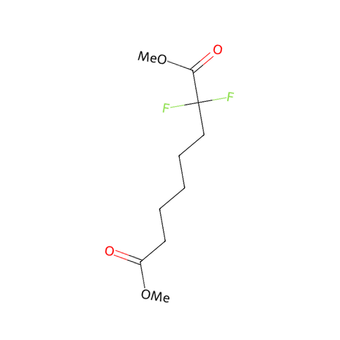 COC(=O)CCCCCC(F)(F)C(=O)OC